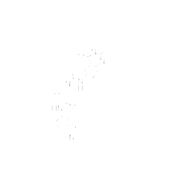 N#Cc1ccc(NC(=O)C2CN(C(=O)Nc3ccc4c(c3)c(=O)n(CC3CC3)c(=O)n4CC(F)(F)F)CCO2)cc1Cl